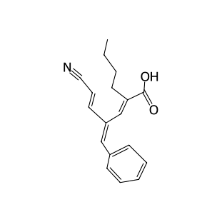 CCCCC(=CC(C=CC#N)=Cc1ccccc1)C(=O)O